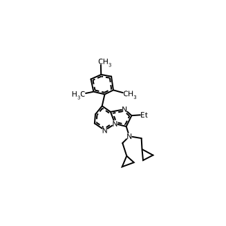 CCc1nc2c(-c3c(C)cc(C)cc3C)ccnn2c1N(CC1CC1)CC1CC1